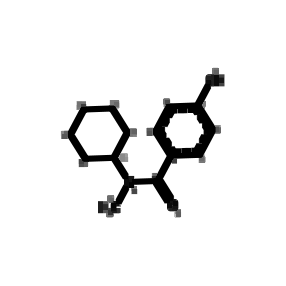 CN(C(=O)c1ccc(O)cc1)C1CCCCC1